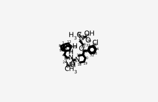 CNC[C@H](CC12CC3CC1C[C@@H](C3)C2)NC(=O)N1CCCC([C@@H](OCCN(C)C(=O)O)c2cccc(Cl)c2)C1